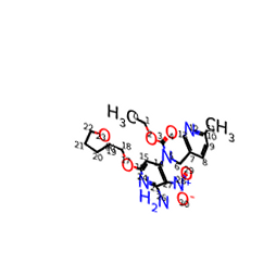 CCOC(=O)N(Cc1ccc(C)nc1)c1cc(OC[C@H]2CCCO2)nc(N)c1[N+](=O)[O-]